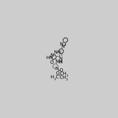 CC(C)(C)OC(=O)N1CCCC(Nc2c(C(=N)c3ccc(-n4cc5ccccc5n4)cc3)c(N)n[nH]c2=O)C1